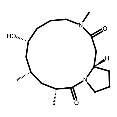 C[C@@H]1C[C@H](O)CCCN(C)C(=O)C[C@@H]2CCCN2C(=O)[C@H](C)C1